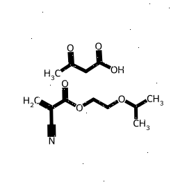 C=C(C#N)C(=O)OCCOC(C)C.CC(=O)CC(=O)O